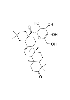 CC1(C)CC[C@]2(C(=O)[C@H]3OC(CO)=C(O)C(O)C3O)CC[C@]3(C)C(=CCC4[C@@]5(C)CCC(=O)C(C)(C)C5CC[C@]43C)C2C1